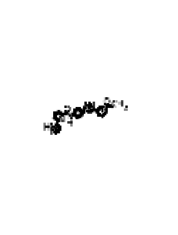 C=CC(=O)N1CCCC(c2cn(-c3ccc(NC(=O)c4cccc(-c5ccn[nH]5)n4)cc3)nn2)C1